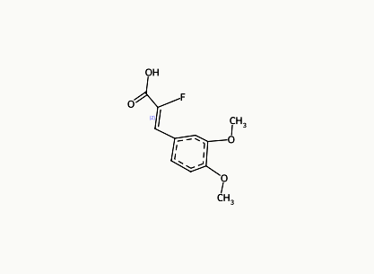 COc1ccc(/C=C(\F)C(=O)O)cc1OC